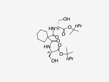 CCCC(C)(C)OC(=O)[C@@H](CO)NC(=O)C1(C(=O)N[C@H](CO)C(=O)OC(C)(C)CCC)CCCCC1